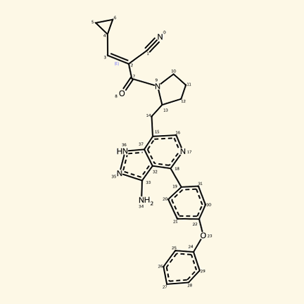 N#C/C(=C\C1CC1)C(=O)N1CCCC1Cc1cnc(-c2ccc(Oc3ccccc3)cc2)c2c(N)n[nH]c12